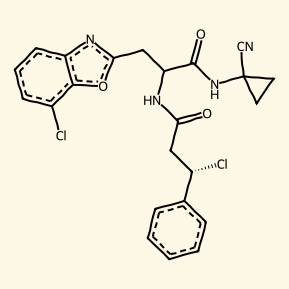 N#CC1(NC(=O)C(Cc2nc3cccc(Cl)c3o2)NC(=O)C[C@H](Cl)c2ccccc2)CC1